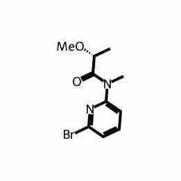 CO[C@H](C)C(=O)N(C)c1cccc(Br)n1